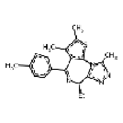 CC[C@H]1N=C(c2ccc(C)cc2)c2c(sc(C)c2C)-n2c(C)nnc21